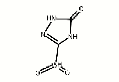 O=c1[nH]nc([SH](=O)=O)[nH]1